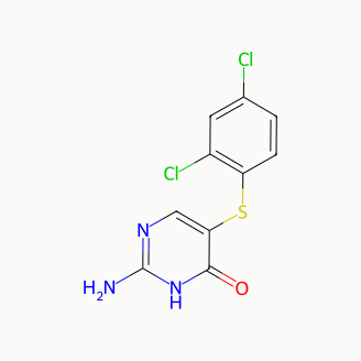 Nc1ncc(Sc2ccc(Cl)cc2Cl)c(=O)[nH]1